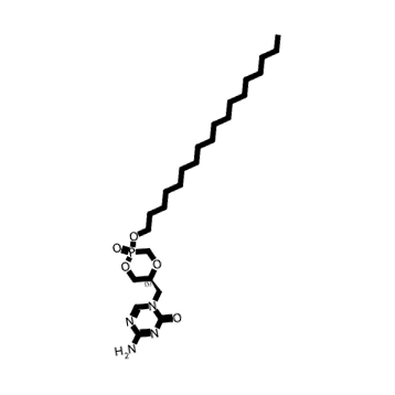 CCCCCCCCCCCCCCCCCCOP1(=O)CO[C@@H](Cn2cnc(N)nc2=O)CO1